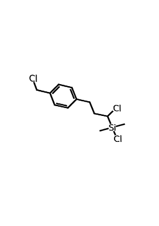 C[Si](C)(Cl)C(Cl)CCc1ccc(CCl)cc1